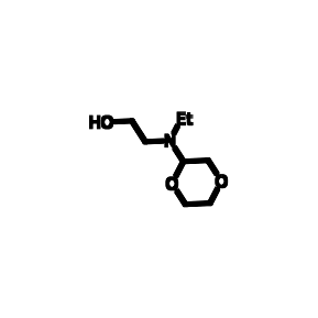 CCN(CCO)C1COCCO1